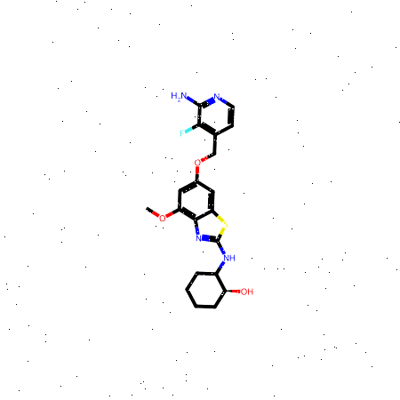 COc1cc(OCc2ccnc(N)c2F)cc2sc(NC3CCCC[C@@H]3O)nc12